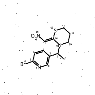 CC(c1ccc(Br)nc1)N1CCCS/C1=C\[N+](=O)[O-]